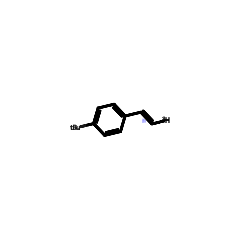 [2H]/C=C/c1ccc(C(C)(C)C)cc1